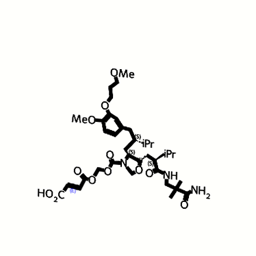 COCCCOc1cc(C[C@@H](C[C@H]2[C@H](C[C@H](C(=O)NCC(C)(C)C(N)=O)C(C)C)OCN2C(=O)OCOC(=O)/C=C/C(=O)O)C(C)C)ccc1OC